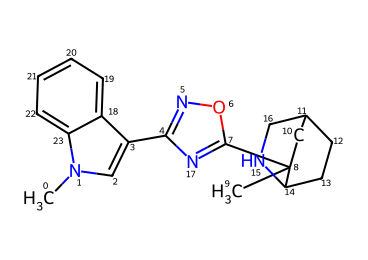 Cn1cc(-c2noc(C3(C)CC4CCC3NC4)n2)c2ccccc21